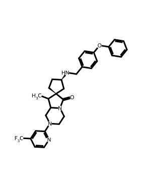 CC1C2CN(c3cc(C(F)(F)F)ccn3)CCN2C(=O)[C@]12CC[C@@H](NCc1ccc(Oc3ccccc3)cc1)C2